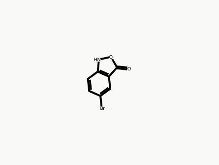 O=c1o[nH]c2ccc(Br)cc12